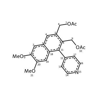 COc1cc2cc(COC(C)=O)c(COC(C)=O)c(-c3ccncc3)c2cc1OC